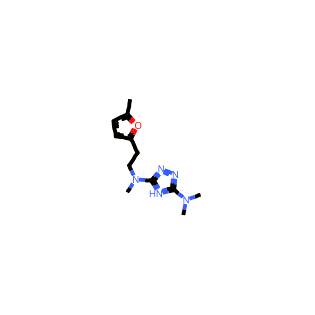 Cc1ccc(CCN(C)c2nnc(N(C)C)[nH]2)o1